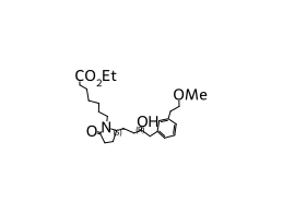 CCOC(=O)CCCCCCN1C(=O)CC[C@@H]1CC[C@@H](O)Cc1cccc(CCOC)c1